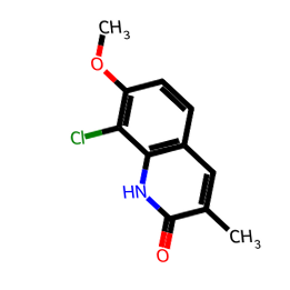 COc1ccc2cc(C)c(=O)[nH]c2c1Cl